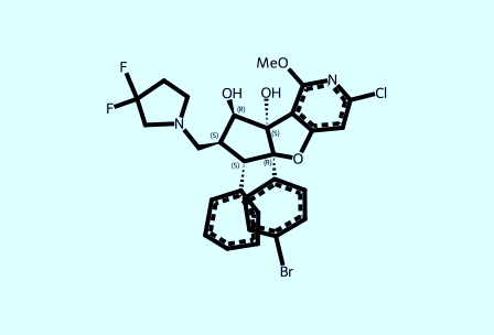 COc1nc(Cl)cc2c1[C@]1(O)[C@H](O)[C@H](CN3CCC(F)(F)C3)[C@@H](c3ccccc3)[C@]1(c1ccc(Br)cc1)O2